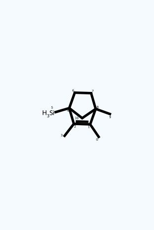 CC1=C(C)C2([SiH3])CCC1(C)C2